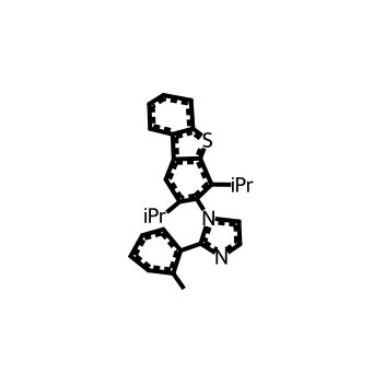 Cc1ccccc1-c1nccn1-c1c(C(C)C)cc2c(sc3ccccc32)c1C(C)C